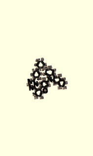 c1ccc(-c2ccc(-c3ncnc(-c4cccc5oc6cc(-n7c8ccccc8c8cc9ccccc9cc87)ccc6c45)n3)cc2)cc1